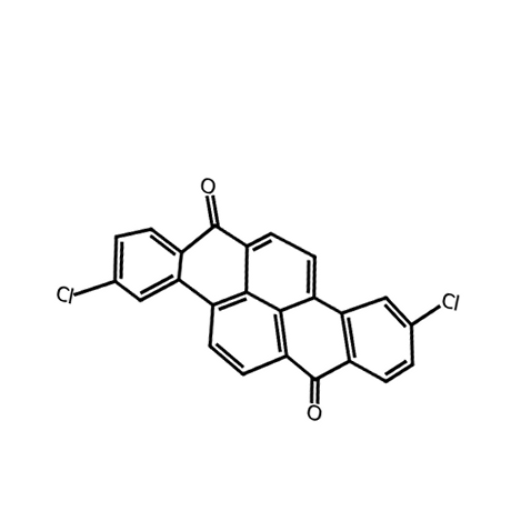 O=C1c2ccc(Cl)cc2-c2ccc3c4c(ccc1c24)-c1cc(Cl)ccc1C3=O